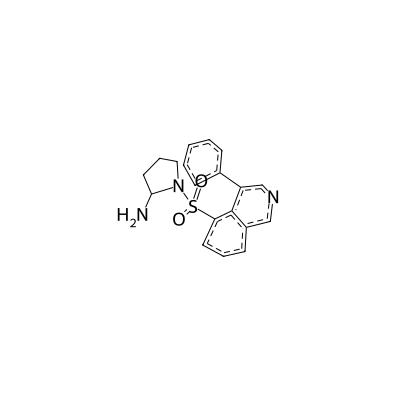 NC1CCCN1S(=O)(=O)c1cccc2cncc(-c3ccccc3)c12